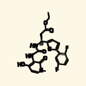 CCOC(=O)C[C@H](NC(=O)Nc1c(O)ccn(C)c1=O)c1ccc(-c2cc(F)ccc2F)s1